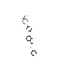 CC1(CN)CCN(c2cnc(Sc3cccc(C(=O)NS(=O)(=O)c4ccncc4)c3Cl)cn2)CC1